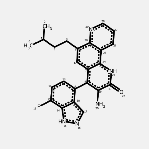 CC(C)CCc1cc2c(-c3ccc(F)c4[nH]ncc34)c(N)c(=O)[nH]c2c2cccnc12